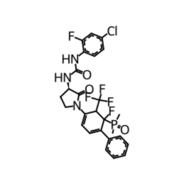 CP(C)(=O)C1(F)C(c2ccccc2)=CC=C(N2CC[C@@H](NC(=O)Nc3ccc(Cl)cc3F)C2=O)C1C(F)(F)F